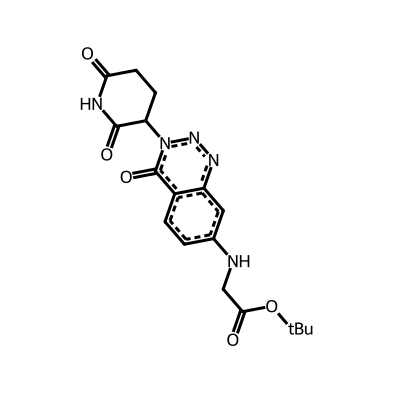 CC(C)(C)OC(=O)CNc1ccc2c(=O)n(C3CCC(=O)NC3=O)nnc2c1